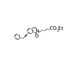 CCOC(=O)CCCCCn1ccc2ccc(C#CCc3ccccc3)cc2c1=O